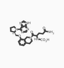 NC(=O)CCC(NC(=O)O)C(=O)N1CCc2cccc(OC[C@H]3CCCN3c3ncnc4[nH]cnc34)c2C1